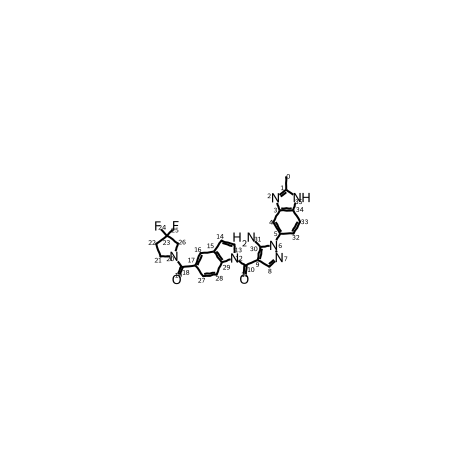 Cc1nc2cc(-n3ncc(C(=O)n4ccc5cc(C(=O)N6CCC(F)(F)C6)ccc54)c3N)ccc2[nH]1